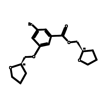 O=C(OC[C@@H]1CCCO1)c1cc(Br)cc(OC[C@@H]2CCCO2)c1